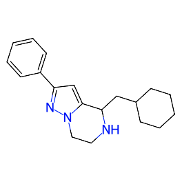 c1ccc(-c2cc3n(n2)CCNC3CC2CCCCC2)cc1